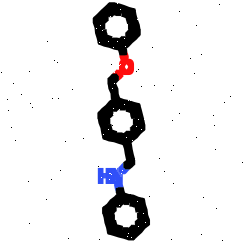 c1ccc(NCc2ccc(COc3ccccc3)cc2)cc1